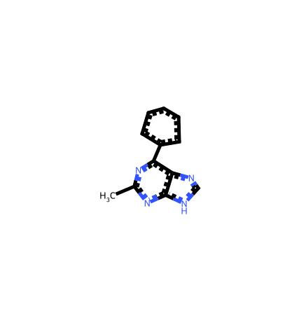 Cc1nc(-c2ccccc2)c2nc[nH]c2n1